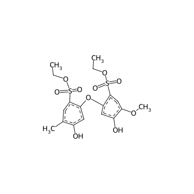 CCOS(=O)(=O)c1cc(C)c(O)cc1Oc1cc(O)c(OC)cc1S(=O)(=O)OCC